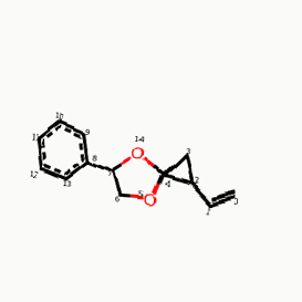 C=CC1CC12OCC(c1ccccc1)O2